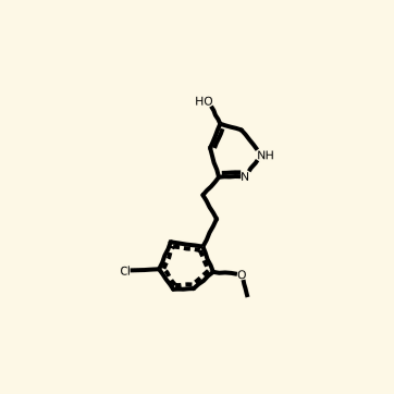 COc1ccc(Cl)cc1CCC1=NNCC(O)=C1